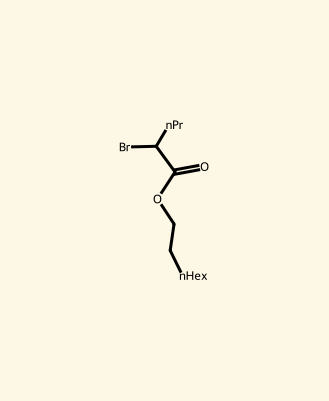 CCCCCCCCOC(=O)C(Br)CCC